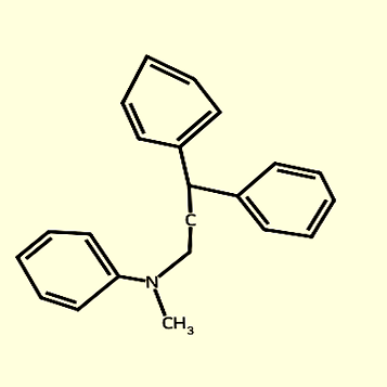 CN(CCC(c1ccccc1)c1ccccc1)c1ccccc1